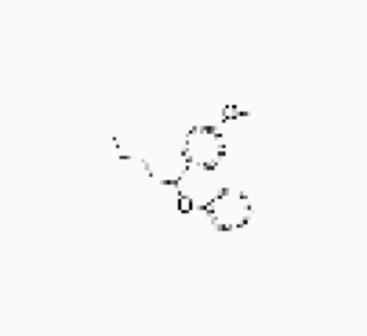 CCCCC(Oc1ccccc1)c1ccc(OC)cc1